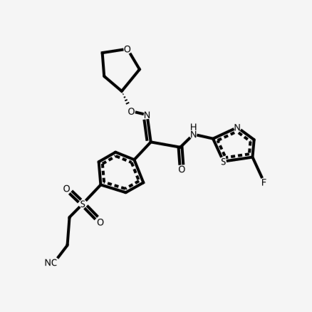 N#CCCS(=O)(=O)c1ccc(/C(=N\O[C@@H]2CCOC2)C(=O)Nc2ncc(F)s2)cc1